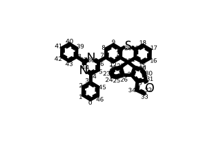 c1ccc(-c2cc(-c3ccc4c(c3)C3(c5ccccc5S4)c4ccccc4-c4c3ccc3occc43)nc(-c3ccccc3)n2)cc1